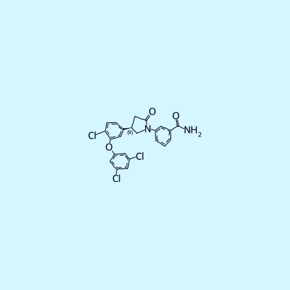 NC(=O)c1cccc(N2C[C@@H](c3ccc(Cl)c(Oc4cc(Cl)cc(Cl)c4)c3)CC2=O)c1